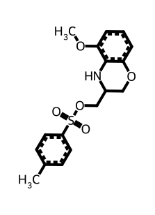 COc1cccc2c1NC(COS(=O)(=O)c1ccc(C)cc1)CO2